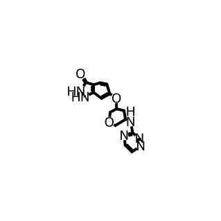 O=c1[nH][nH]c2cc(OC3COCC(Nc4nccnn4)C3)ccc12